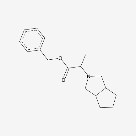 CC(C(=O)OCc1ccccc1)N1CC2CCCC2C1